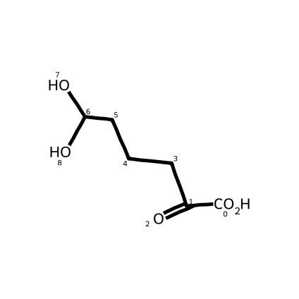 O=C(O)C(=O)CCCC(O)O